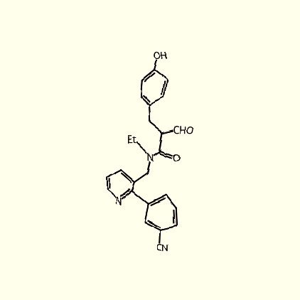 CCN(Cc1cccnc1-c1cccc(C#N)c1)C(=O)C(C=O)Cc1ccc(O)cc1